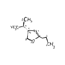 CCC1=N[C@@H](C(C)C)CO1